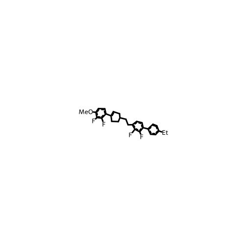 CCc1ccc(-c2ccc(CCC3CC=C(c4ccc(OC)c(F)c4F)CC3)c(F)c2F)cc1